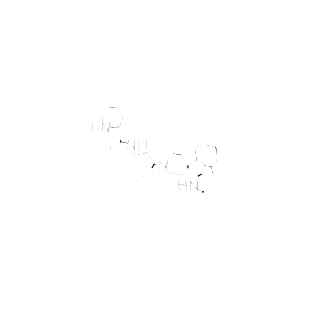 CC(C)(C)NC(=O)C1(C2CCCCC2)CCN(C(=O)CCNC(=O)[C@@H]2CCCCN2)CC1